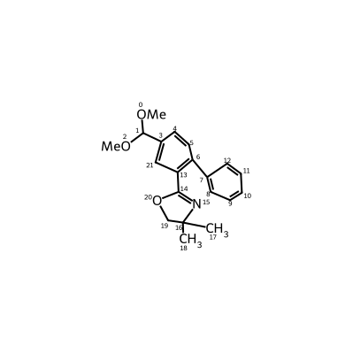 COC(OC)c1ccc(-c2ccccc2)c(C2=NC(C)(C)CO2)c1